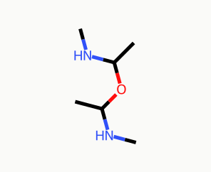 CNC(C)OC(C)NC